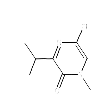 CC(C)c1nc(Cl)cn(C)c1=O